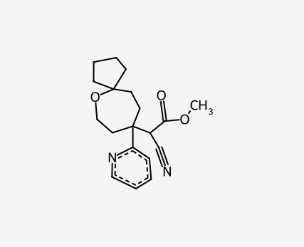 COC(=O)C(C#N)C1(c2ccccn2)CCOC2(CCCC2)CC1